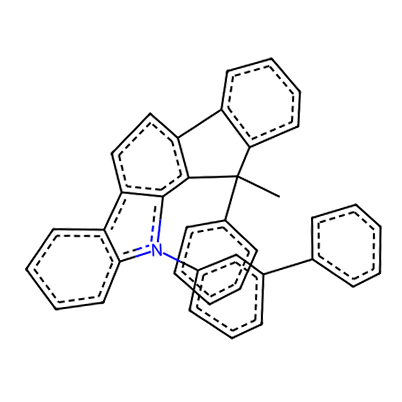 CC1(c2ccccc2)c2ccccc2-c2ccc3c4ccccc4n(-c4cccc(-c5ccccc5)c4)c3c21